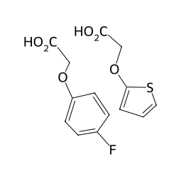 O=C(O)COc1ccc(F)cc1.O=C(O)COc1cccs1